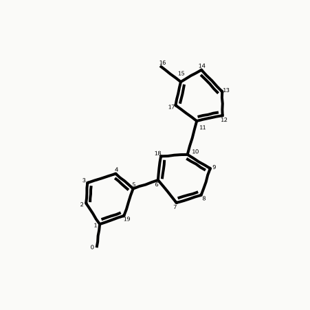 Cc1cccc(-c2cccc(-c3cccc(C)c3)c2)c1